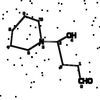 O=CCCC(O)N1CCCCC1